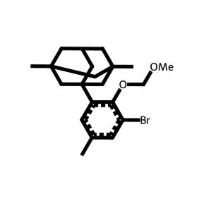 COCOc1c(Br)cc(C)cc1C12CC3CC(C)(CC(C)(C3)C1)C2